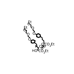 CCOCCOCCOc1ccc(CCCC(O)C(=O)OCC)cc1.CCOCCOCCOc1ccc(CCCC(OS(C)(=O)=O)C(=O)OCC)cc1